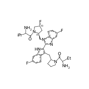 CCC(N)C(=O)N1CCCC1Cc1c(-c2nc3cc(F)ccc3n2C[C@@H]2C[C@H](F)CN2C(=O)C(N)C(C)C)[nH]c2cc(F)ccc12